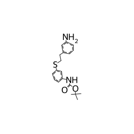 CC(C)(C)OC(=O)Nc1cccc(SCCc2cccc(N)c2)c1